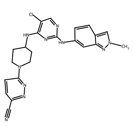 Cn1cc2ccc(Nc3ncc(Cl)c(NC4CCN(c5ccc(C#N)nn5)CC4)n3)cc2n1